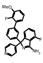 COc1cccc(-c2cccc(C3(c4ccncc4)N=C(N)c4c(F)cccc43)c2)c1F